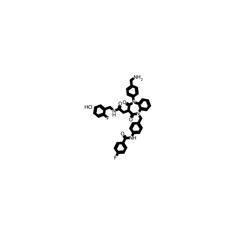 Cl.NCc1ccc(N2C(=O)C(CC(=O)NCc3ccccc3F)C(=O)N(Cc3ccc(NC(=O)c4ccc(F)cc4)cc3)c3ccccc32)cc1